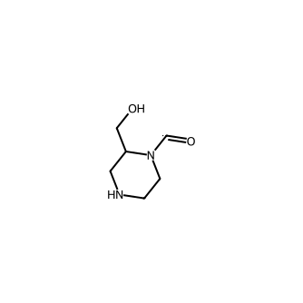 O=[C]N1CCNCC1CO